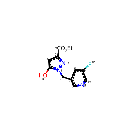 CCOC(=O)c1cc(O)n(Cc2cncc(F)c2)n1